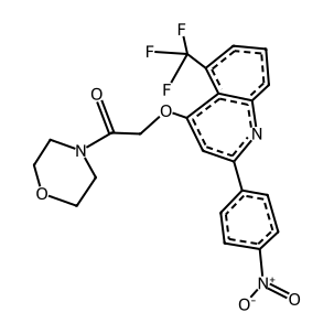 O=C(COc1cc(-c2ccc([N+](=O)[O-])cc2)nc2cccc(C(F)(F)F)c12)N1CCOCC1